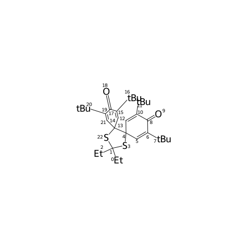 CCC1(CC)SC2(C=C(C(C)(C)C)C(=O)C(C(C)(C)C)=C2)C2(C=C(C(C)(C)C)C(=O)C(C(C)(C)C)=C2)S1